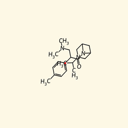 Cc1ccc(C(CN(C)C)C(=O)N2C3CC2CN(C(C)C)C3)cc1